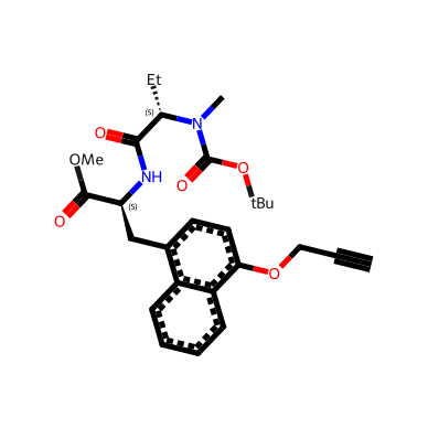 C#CCOc1ccc(C[C@H](NC(=O)[C@H](CC)N(C)C(=O)OC(C)(C)C)C(=O)OC)c2ccccc12